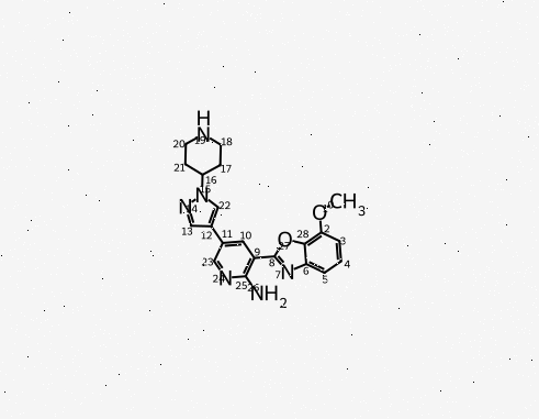 COc1cccc2nc(-c3cc(-c4cnn(C5CCNCC5)c4)cnc3N)oc12